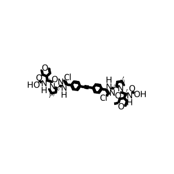 CC1CC([C@](C)(NC(=O)O)C(=O)N2C[C@@H](C)C[C@H]2c2nc(Cl)c(-c3ccc(C#Cc4ccc(-c5[nH]c([C@@H]6C[C@H](C)CN6C(=O)[C@@H](NC(=O)O)C6CCOCC6)nc5Cl)cc4)cc3)[nH]2)CCO1